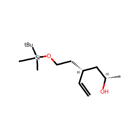 C=C[C@H](CCO[Si](C)(C)C(C)(C)C)C[C@H](C)O